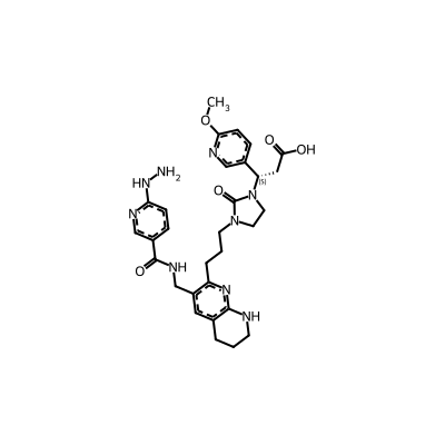 COc1ccc([C@H](CC(=O)O)N2CCN(CCCc3nc4c(cc3CNC(=O)c3ccc(NN)nc3)CCCN4)C2=O)cn1